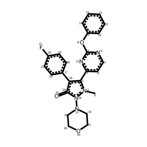 Cn1c(-c2ccnc(Oc3ccccc3)n2)c(-c2ccc(F)cc2)c(=O)n1N1CCOCC1